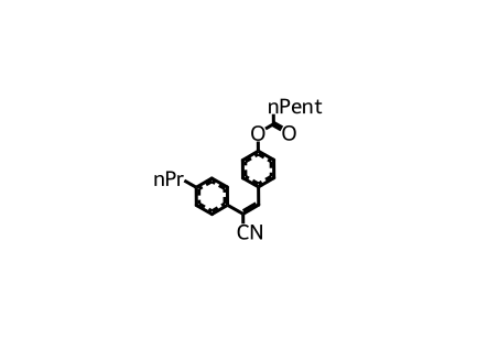 CCCCCC(=O)Oc1ccc(C=C(C#N)c2ccc(CCC)cc2)cc1